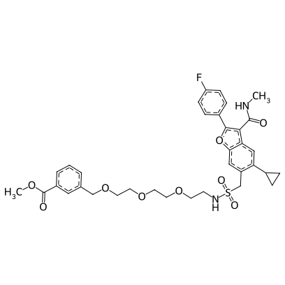 CNC(=O)c1c(-c2ccc(F)cc2)oc2cc(CS(=O)(=O)NCCOCCOCCOCc3cccc(C(=O)OC)c3)c(C3CC3)cc12